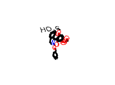 O=C(O)COc1cc2c(cc1C1c3ccccc3CCN1C(=O)OCc1ccccc1)OCO2